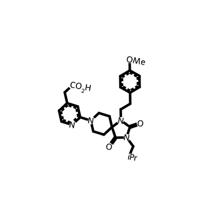 COc1ccc(CCN2C(=O)N(CC(C)C)C(=O)C23CCN(c2cc(CC(=O)O)ccn2)CC3)cc1